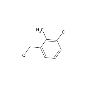 Cc1c(Cl)cccc1C[O]